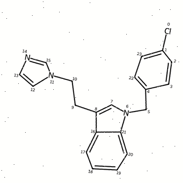 Clc1ccc(Cn2cc(CCn3ccnc3)c3ccccc32)cc1